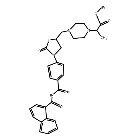 CC(C)OC(=O)C(C)N1CCN(CC2CN(c3ccc(C(=N)NC(=O)c4cccc5ccccc45)cc3)C(=O)O2)CC1